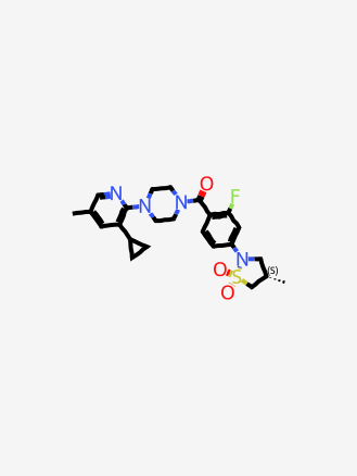 Cc1cnc(N2CCN(C(=O)c3ccc(N4C[C@H](C)CS4(=O)=O)cc3F)CC2)c(C2CC2)c1